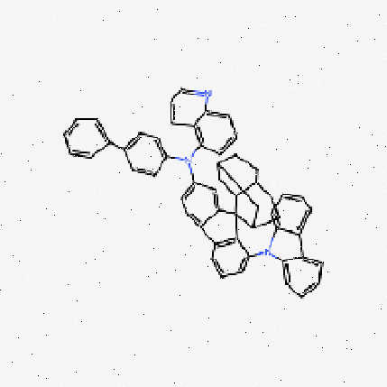 c1ccc(-c2ccc(N(c3ccc4c(c3)C3(c5c-4cccc5-n4c5ccccc5c5ccccc54)C4CCC5CCC(C4)CC53)c3cccc4ncccc34)cc2)cc1